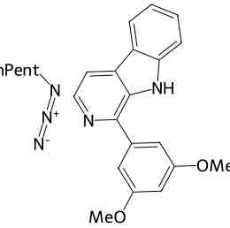 CCCCCN=[N+]=[N-].COc1cc(OC)cc(-c2nccc3c2[nH]c2ccccc23)c1